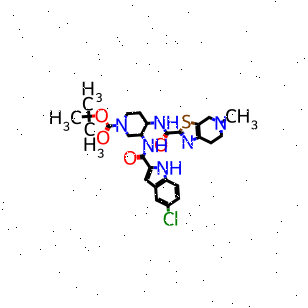 CN1CCc2nc(C(=O)NC3CCN(C(=O)OC(C)(C)C)CC3NC(=O)c3cc4cc(Cl)ccc4[nH]3)sc2C1